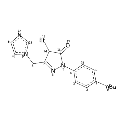 CCCCc1ccc(N2N=C(Cn3ccnc3)C(CC)C2=O)cc1